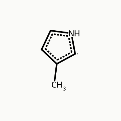 Cc1[c][nH]cc1